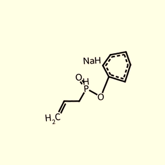 C=CC[PH](=O)Oc1ccccc1.[NaH]